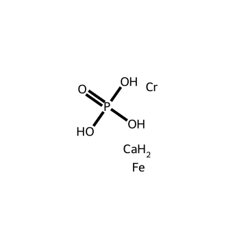 O=P(O)(O)O.[CaH2].[Cr].[Fe]